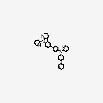 c1ccc(-c2ccc(N(c3ccc(-c4ccc5c(c4)c4cccnc4n5-c4ccccn4)cc3)c3ccccn3)cc2)cc1